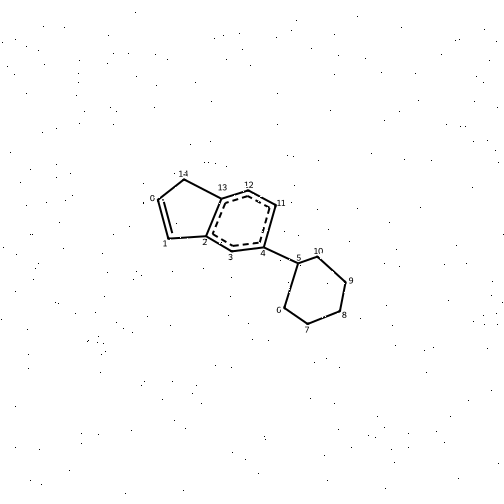 [C]1=Cc2cc(C3CCCCC3)ccc2C1